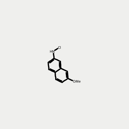 COc1ccc2ccc(NCl)cc2c1